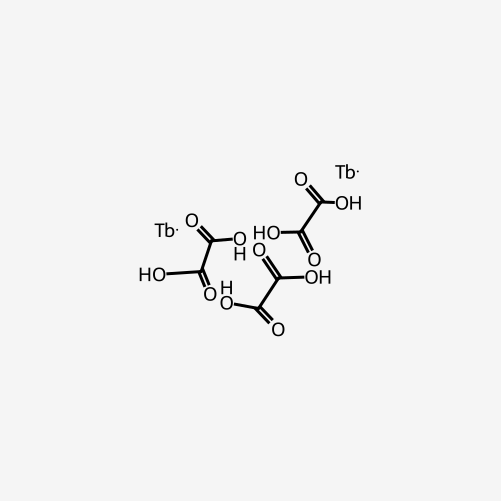 O=C(O)C(=O)O.O=C(O)C(=O)O.O=C(O)C(=O)O.[Tb].[Tb]